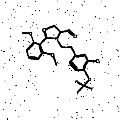 COc1cccc(OC)c1C1OCC(C=O)N1CCc1ccc(OC(F)(F)F)c(Cl)c1